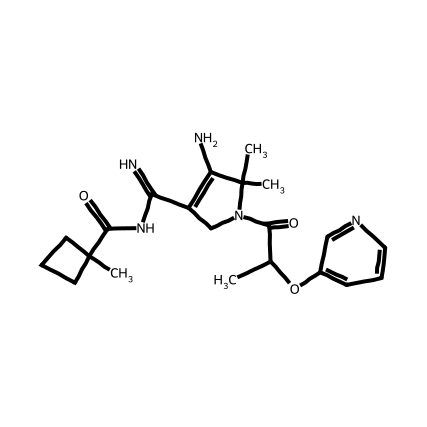 CC(Oc1cccnc1)C(=O)N1CC(C(=N)NC(=O)C2(C)CCC2)=C(N)C1(C)C